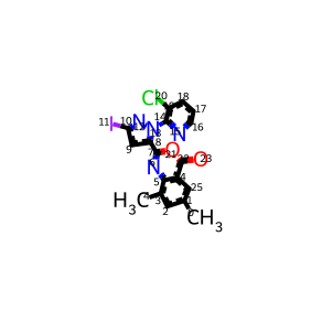 Cc1cc(C)c2nc(-c3cc(I)nn3-c3ncccc3Cl)oc(=O)c2c1